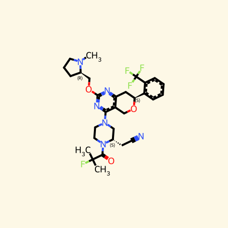 CN1CCC[C@@H]1COc1nc2c(c(N3CCN(C(=O)C(C)(C)F)[C@@H](CC#N)C3)n1)CO[C@H](c1ccccc1C(F)(F)F)C2